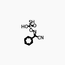 N#C/C(=N/OP(=O)(O)S)c1ccccc1